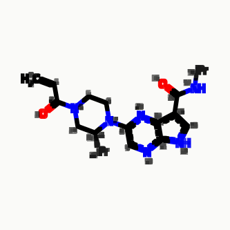 C=CC(=O)N1CCN(c2cnc3[nH]cc(C(=O)NC(C)C)c3n2)[C@@H](C(C)C)C1